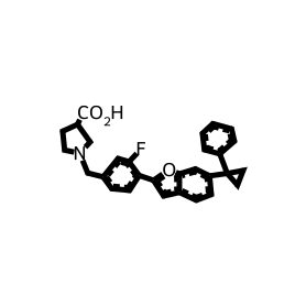 O=C(O)C1CCN(Cc2ccc(-c3cc4ccc(C5(c6ccccc6)CC5)cc4o3)c(F)c2)C1